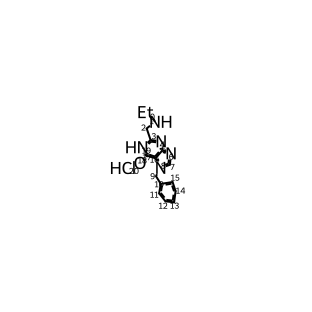 CCNCc1nc2ncn(Cc3ccccc3)c2c(=O)[nH]1.Cl